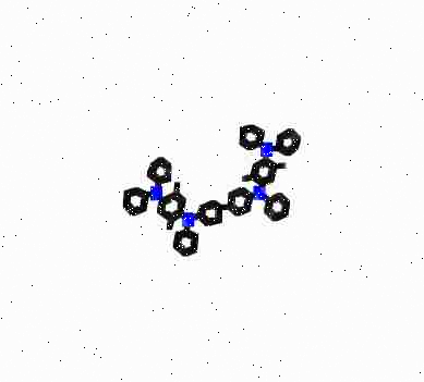 Cc1cc(N(c2ccccc2)c2ccc(-c3ccc(N(c4ccccc4)c4cc(C)c(N(c5ccccc5)c5ccccc5)cc4C)cc3)cc2)c(C)cc1N(c1ccccc1)c1ccccc1